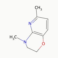 Cc1ccc2c(n1)N(C)CCO2